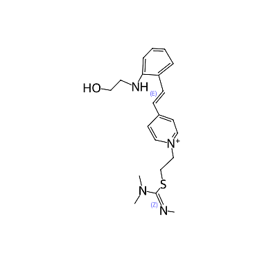 C/N=C(\SCC[n+]1ccc(/C=C/c2ccccc2NCCO)cc1)N(C)C